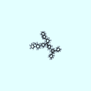 CC1(C)c2ccccc2-c2ccc(-c3ccc(N(c4ccc(-c5cc(-c6ccccc6)cc(-c6ccccc6)c5)cc4)c4cccc(-c5ccc6ccccc6c5)c4)cc3)cc21